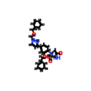 O=C1CN(c2ccc(-c3ccn(COCc4ccccc4)n3)cc2OCc2ccccc2)S(=O)(=O)N1